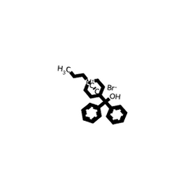 CCC[N+]12CCC(C(O)(c3ccccc3)c3ccccc3)(CC1)CC2.[Br-]